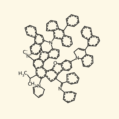 [C-]#[N+]c1cc2c(C(C)C)c(N3C=CC=CC3)c3cc(/C(=N/c4ccccc4)c4ccccc4)c4c5ccc(N6CC=C(c7cccc8ccccc78)c7ccccc76)cc5oc4c3c2c2c1oc1c(N(c3c4ccccc4c(-c4ccccc4)c4ccccc34)c3cc4ccccc4c4ccccc34)cccc12